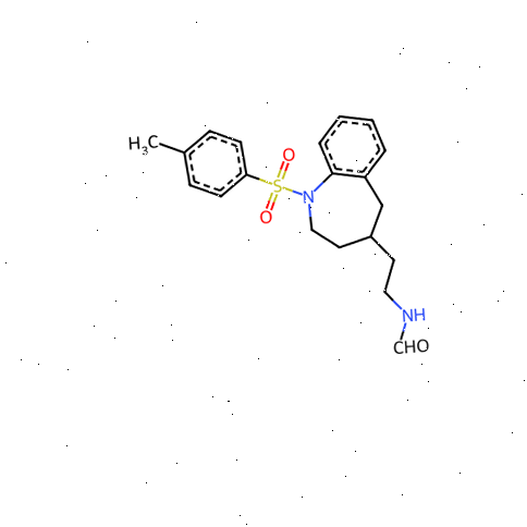 Cc1ccc(S(=O)(=O)N2CCC(CCNC=O)Cc3ccccc32)cc1